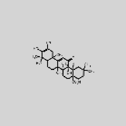 CC1(C)CC[C@]2(C(=O)O)CC[C@@]3(C)[C@]4(C)CCC5[C@](C)(O)C(O)=C(C#N)C[C@]5(C)C4=CC(=O)[C@]3(O)[C@@H]2C1